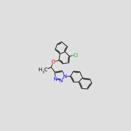 CC(Oc1ccc(Cl)c2ccccc12)c1cn(-c2ccc3ccccc3c2)nn1